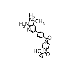 CC(N)c1cc(-c2ccc(C(=O)N3CCN(C(=O)C4(O)CC4)CC3)cc2)cnc1N